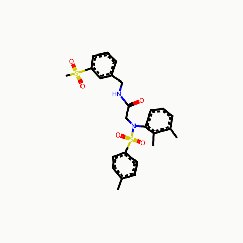 Cc1ccc(S(=O)(=O)N(CC(=O)NCc2cccc(S(C)(=O)=O)c2)c2cccc(C)c2C)cc1